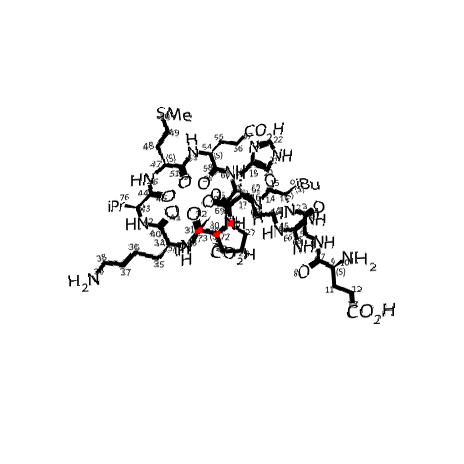 CC[C@H](C)[C@H](NC(=O)CNC(=O)[C@@H](N)CCC(=O)O)C(=O)N[C@@H](Cc1c[nH]cn1)C(=O)N1CCC[C@H]1C(=O)N[C@@H](CCCCN)C(=O)N[C@H](C(=O)N[C@@H](CCSC)C(=O)N[C@@H](CCC(=O)O)C(=O)N[C@@H](CCCNC(=N)N)C(=O)N[C@@H](CC(C)C)C(=O)O)C(C)C